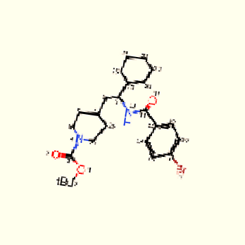 CC(C)(C)OC(=O)N1CCC(CC(NC(=O)c2ccc(Br)cc2)C2CCCCC2)CC1